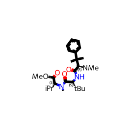 CN[C@@H](C(=O)N[C@H](C(=O)N(C)[C@H](C(=O)OC)C(C)C)C(C)(C)C)C(C)(C)c1ccccc1